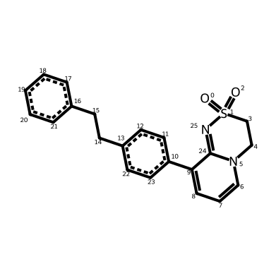 O=S1(=O)CCN2C=CC=C(c3ccc(CCc4ccccc4)cc3)C2=N1